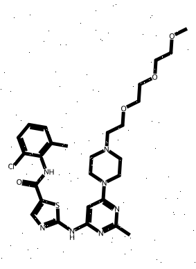 COCCOCCOCCN1CCN(c2cc(Nc3ncc(C(=O)Nc4c(C)cccc4Cl)s3)nc(C)n2)CC1